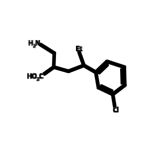 CCC(CC(CN)C(=O)O)c1cccc(Cl)c1